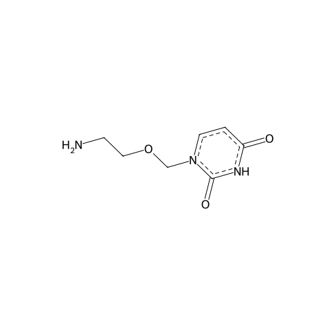 NCCOCn1ccc(=O)[nH]c1=O